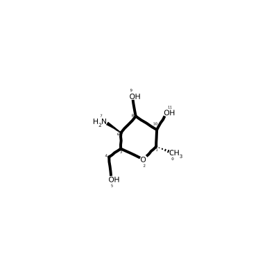 C[C@@H]1OC(CO)[C@@H](N)C(O)C1O